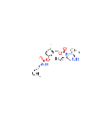 CCCCNC(=O)Oc1ccc(F)c(COC(=O)N2C(C)CNCC2C)c1